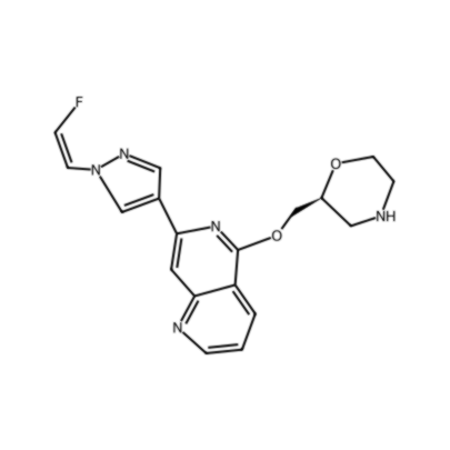 F/C=C\n1cc(-c2cc3ncccc3c(OC[C@@H]3CNCCO3)n2)cn1